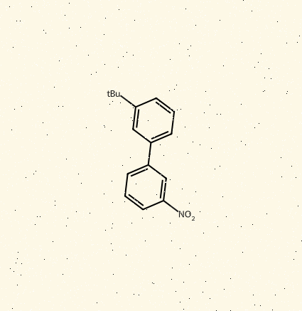 CC(C)(C)c1cccc(-c2cccc([N+](=O)[O-])c2)c1